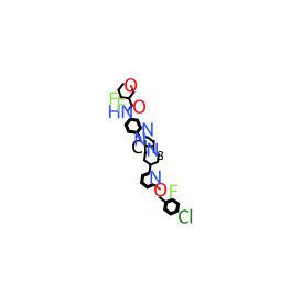 Cn1c(CN2CCC(c3cccc(OCc4ccc(Cl)cc4F)n3)CC2)nc2cc(NC(=O)C3COCCC3(F)F)ccc21